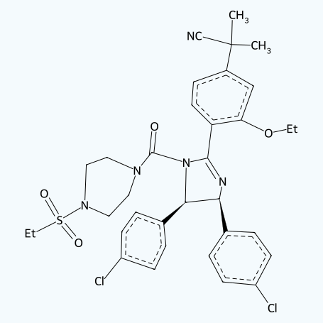 CCOc1cc(C(C)(C)C#N)ccc1C1=N[C@@H](c2ccc(Cl)cc2)[C@@H](c2ccc(Cl)cc2)N1C(=O)N1CCN(S(=O)(=O)CC)CC1